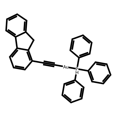 [C](#Cc1cccc2c1Cc1ccccc1-2)[Au][PH](c1ccccc1)(c1ccccc1)c1ccccc1